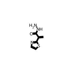 C=C(C(=O)NN)c1nccs1